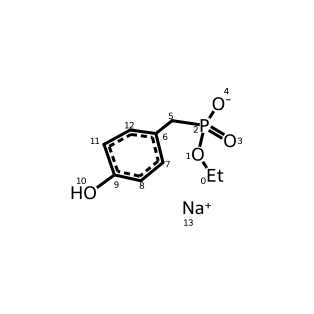 CCOP(=O)([O-])Cc1ccc(O)cc1.[Na+]